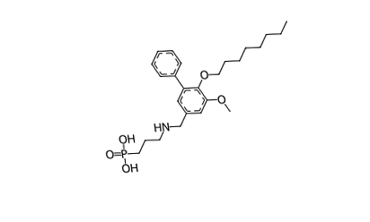 CCCCCCCCOc1c(OC)cc(CNCCCP(=O)(O)O)cc1-c1ccccc1